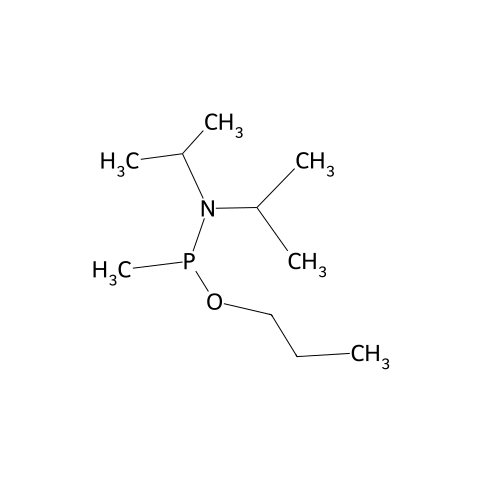 CCCOP(C)N(C(C)C)C(C)C